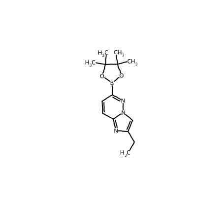 CCc1cn2nc(B3OC(C)(C)C(C)(C)O3)ccc2n1